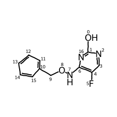 Oc1ncc(F)c(NOCc2ccccc2)n1